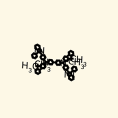 CC1(C)c2ccccc2-c2ccc(N(c3ccc(-c4ccc(N(c5ccc(-c6nc7ccccn7c6-c6ccccc6)cc5)c5ccc6c(c5)C(C)(C)c5ccccc5-6)cc4)cc3)c3ccc(-c4nc5ccccn5c4-c4ccccc4)cc3)cc21